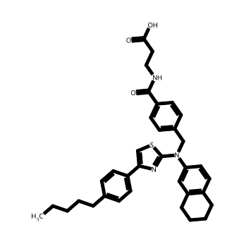 CCCCCc1ccc(-c2csc(N(Cc3ccc(C(=O)NCCC(=O)O)cc3)c3ccc4c(c3)CCCC4)n2)cc1